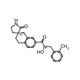 Cc1ccccc1CN(O)C(=O)c1ccc2c(c1)C[C@]1(CCNC1=O)CC2